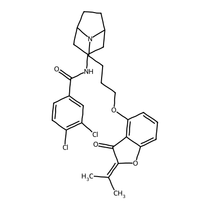 CC(C)=C1Oc2cccc(OCCCCN3C4CCC3CC(NC(=O)c3ccc(Cl)c(Cl)c3)C4)c2C1=O